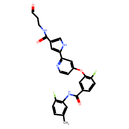 Cc1ccc(F)c(NC(=O)c2ccc(F)c(Oc3ccnc(-c4cc(C(=O)NCCC=O)c[nH]4)c3)c2)c1